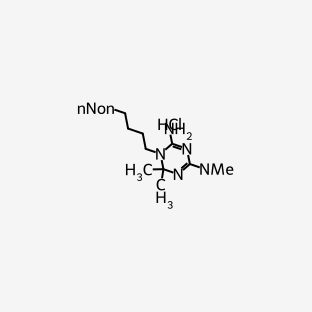 CCCCCCCCCCCCCN1C(N)=NC(NC)=NC1(C)C.Cl